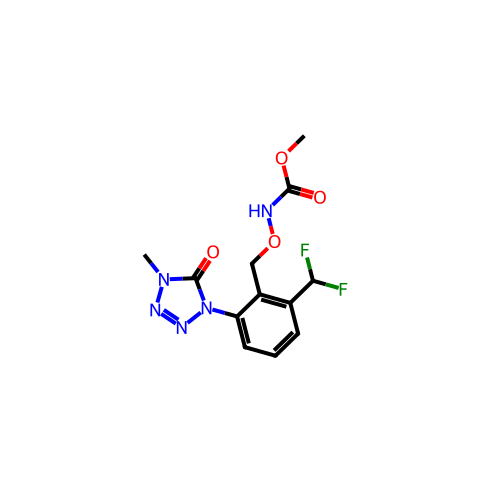 COC(=O)NOCc1c(C(F)F)cccc1-n1nnn(C)c1=O